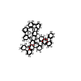 c1ccc(-c2cccc(-c3ccccc3)c2N2c3cc(-n4c5ccccc5c5ccccc54)ccc3B3c4cc5c6cccc7c8ccccc8n(c5cc4N(c4cccc5c4oc4ccccc45)c4cc(-n5c8ccccc8c8ccccc85)cc2c43)c76)cc1